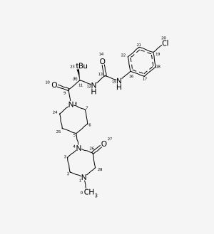 CN1CCN(C2CCN(C(=O)[C@H](NC(=O)Nc3ccc(Cl)cc3)C(C)(C)C)CC2)C(=O)C1